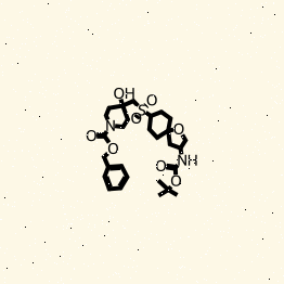 CC(C)(C)OC(=O)NC1COC2(CCC(S(=O)(=O)CC3(O)CCN(C(=O)OCc4ccccc4)CC3)CC2)C1